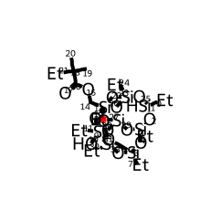 CC[SiH]1O[Si]2(CC)O[Si]3(CC)O[Si](O)(CC)O[Si]4(COC(=O)C(C)(C)CC)O[Si](CC)(O1)O[Si](CC)(O2)O[Si](CC)(O3)O4